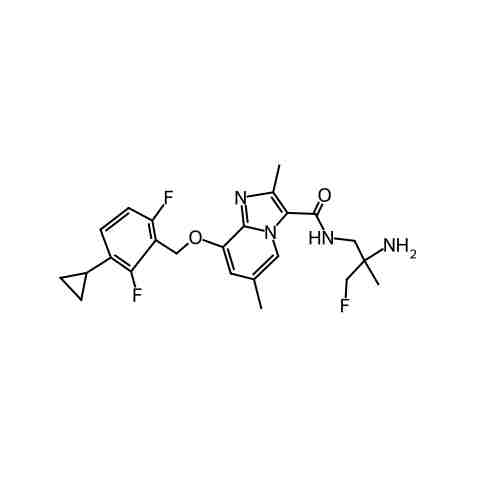 Cc1cc(OCc2c(F)ccc(C3CC3)c2F)c2nc(C)c(C(=O)NCC(C)(N)CF)n2c1